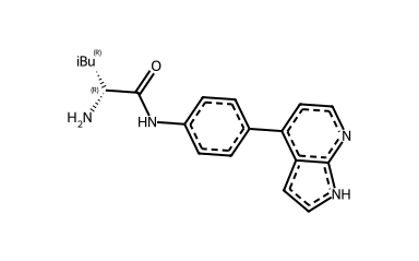 CC[C@@H](C)[C@@H](N)C(=O)Nc1ccc(-c2ccnc3[nH]ccc23)cc1